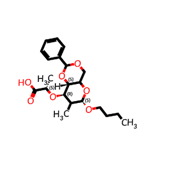 CCCCO[C@H]1OC2COC(c3ccccc3)O[C@H]2[C@H](O[C@@H](C)C(=O)O)C1C